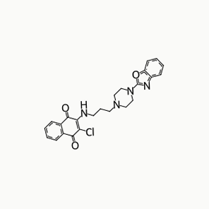 O=C1C(Cl)=C(NCCCN2CCN(c3nc4ccccc4o3)CC2)C(=O)c2ccccc21